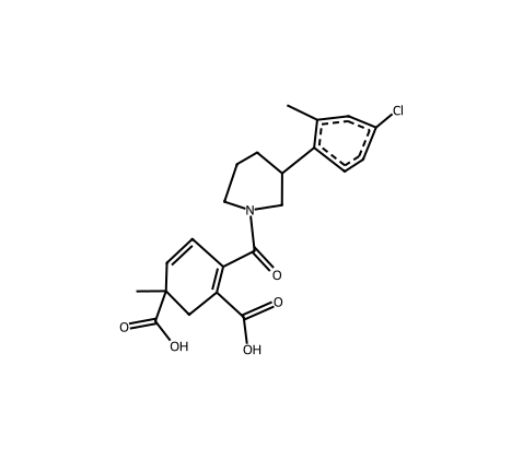 Cc1cc(Cl)ccc1C1CCCN(C(=O)C2=C(C(=O)O)CC(C)(C(=O)O)C=C2)C1